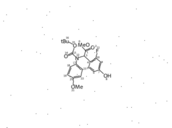 COC(=O)C(c1ccc(O)cc1F)N(C(=O)OC(C)(C)C)c1ccc(OC)cc1